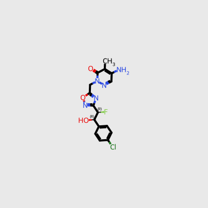 Cc1c(N)cnn(Cc2nc([C@@H](F)[C@H](O)c3ccc(Cl)cc3)no2)c1=O